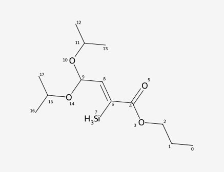 CCCOC(=O)C([SiH3])=CC(OC(C)C)OC(C)C